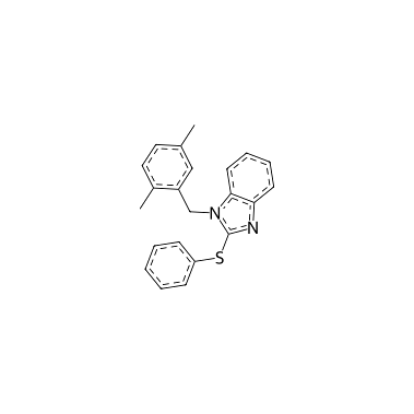 Cc1ccc(C)c(Cn2c(Sc3ccccc3)nc3ccccc32)c1